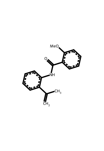 C=C(C)c1ccccc1NC(=O)c1ccccc1OC